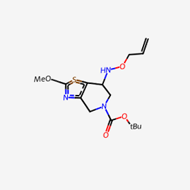 C=CCONC1CN(C(=O)OC(C)(C)C)Cc2nc(OC)sc21